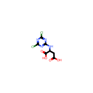 O=C(O)CC(Nc1nc(Cl)nc(Cl)n1)C(=O)O